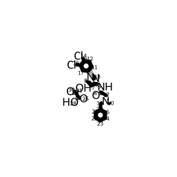 CN(CC(=O)Nc1ccn(-c2ccc(Cl)c(Cl)c2)n1)Cc1ccccc1.O=C(O)C(=O)O